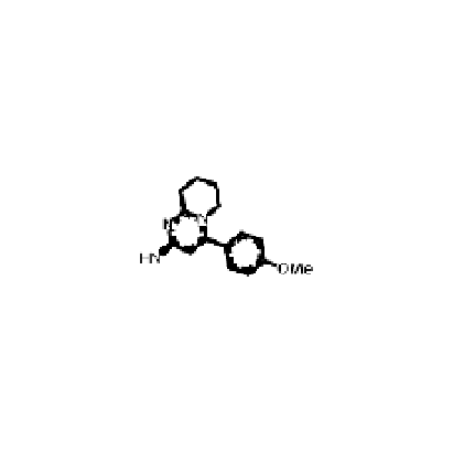 COc1ccc(-c2cc(=N)nc3n2CCCC3)cc1